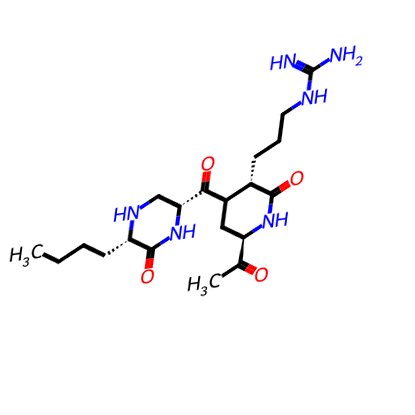 CCCC[C@@H]1NC[C@H](C(=O)C2C[C@H](C(C)=O)NC(=O)[C@H]2CCCNC(=N)N)NC1=O